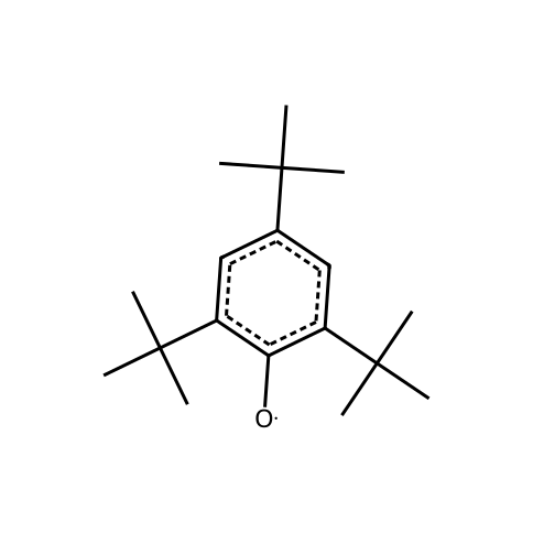 CC(C)(C)c1cc(C(C)(C)C)c([O])c(C(C)(C)C)c1